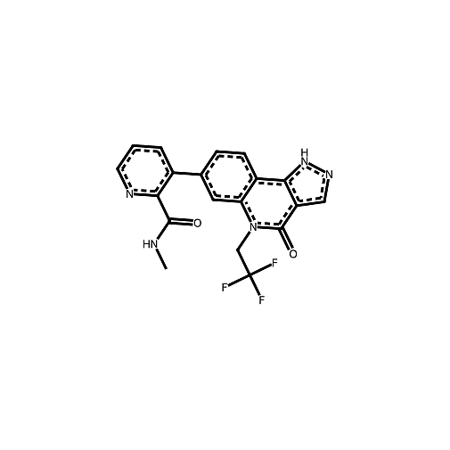 CNC(=O)c1ncccc1-c1ccc2c3[nH]ncc3c(=O)n(CC(F)(F)F)c2c1